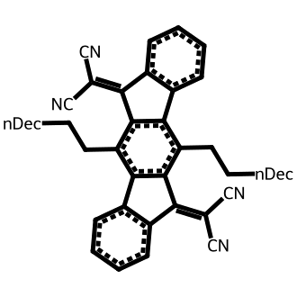 CCCCCCCCCCCCc1c2c(c(CCCCCCCCCCCC)c3c1-c1ccccc1C3=C(C#N)C#N)-c1ccccc1C2=C(C#N)C#N